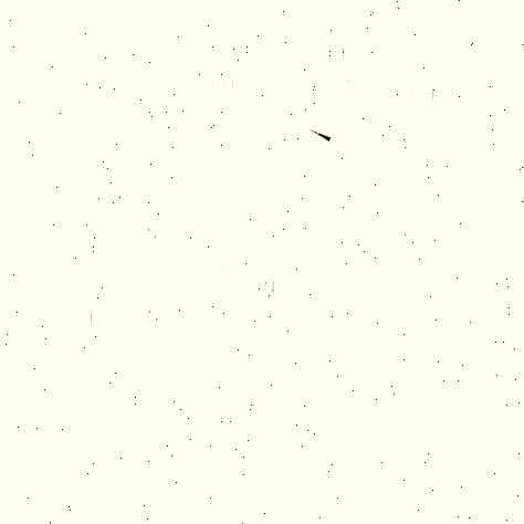 Cc1cc2nc(N(C)Cc3ccccc3)sc2c(-c2ccc3c4c(ccnc24)CCO3)c1[C@H](OC(C)(C)C)C(=O)O